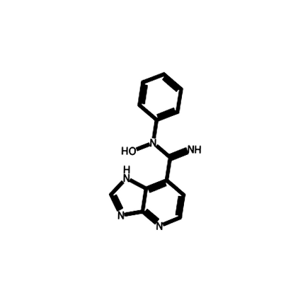 N=C(c1ccnc2nc[nH]c12)N(O)c1ccccc1